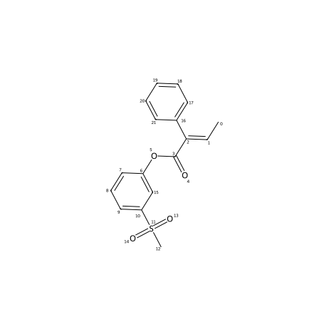 CC=C(C(=O)Oc1cccc(S(C)(=O)=O)c1)c1ccccc1